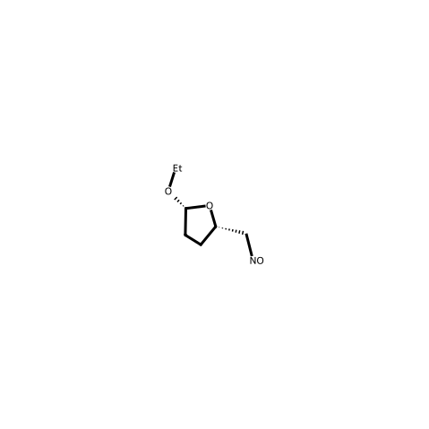 CCO[C@H]1CC[C@@H](CN=O)O1